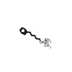 C[SiH](C)OCCCCCC1CC2C=CC1C2